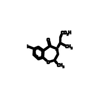 CC1CN(C(C)CC(=O)O)C(=O)c2cc(I)ccc2O1